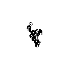 CNc1nccn1Cc1cc(CN2CC[C@@H](OC)C2)c2c(c1)C(=O)N([C@@H](C)c1cc(OC)c(F)cn1)CC2